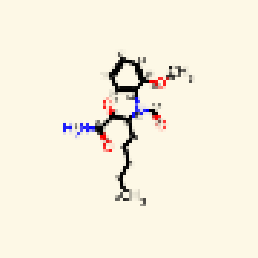 CCCCCC(C(=O)C(N)=O)N(C=O)c1ccccc1OC